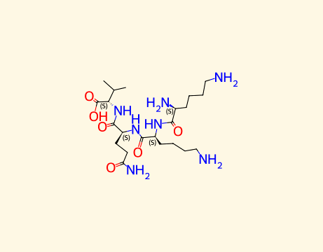 CC(C)[C@H](NC(=O)[C@H](CCC(N)=O)NC(=O)[C@H](CCCCN)NC(=O)[C@@H](N)CCCCN)C(=O)O